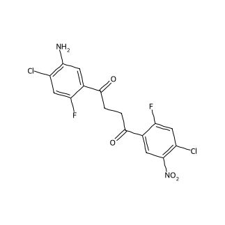 Nc1cc(C(=O)CCC(=O)c2cc([N+](=O)[O-])c(Cl)cc2F)c(F)cc1Cl